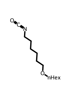 CCCCCCOCCCCCCN=C=O